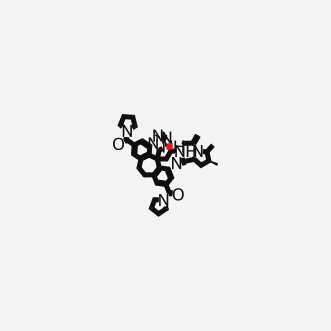 C=C(CN[C@H](C)CC1(c2nnn[nH]2)c2ccc(C(=O)N3CCCC3)cc2CCc2cc(C(=O)N3CCCC3)ccc21)N1C(C#N)C[C@H](C)C1C